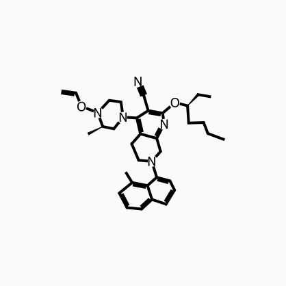 C=CON1CCN(c2c(C#N)c(O[C@@H](CC)CCCC)nc3c2CCN(c2cccc4cccc(C)c24)C3)C[C@H]1C